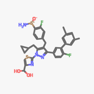 Cc1cc(C)cc(-c2cc(-c3nn(-c4nc(C(O)O)cs4)c(CC4CC4)c3Cc3ccc([S+](N)[O-])c(F)c3)ccc2F)c1